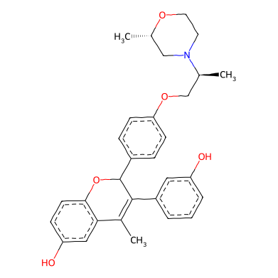 CC1=C(c2cccc(O)c2)C(c2ccc(OC[C@H](C)N3CCO[C@@H](C)C3)cc2)Oc2ccc(O)cc21